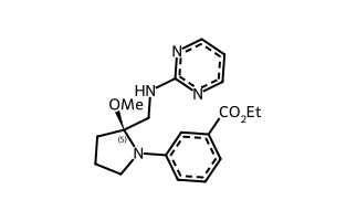 CCOC(=O)c1cccc(N2CCC[C@@]2(CNc2ncccn2)OC)c1